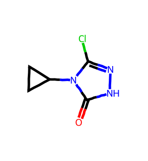 O=c1[nH]nc(Cl)n1C1CC1